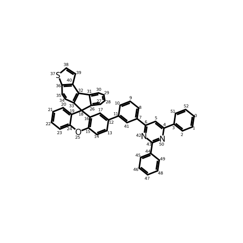 c1ccc(-c2cc(-c3cccc(-c4ccc5c(c4)C4(c6ccccc6O5)c5ccccc5-c5c4ccc4sccc54)c3)nc(-c3ccccc3)n2)cc1